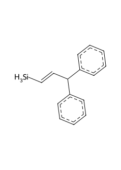 [SiH3]C=CC(c1ccccc1)c1ccccc1